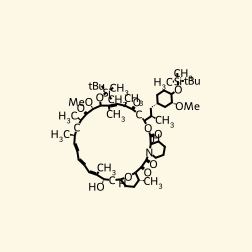 CO[C@@H]1C[C@H](C[C@@H](C)[C@@H]2CC(=O)[C@H](C)/C=C(\C)C(O[Si](C)(C)C(C)(C)C)[C@@H](OC)C(=O)[C@H](C)C[C@H](C)/C=C/C=C/C=C(\C)[C@@H](O)C[C@@H]3CC[C@@H](C)C(O3)C(=O)C(=O)N3CCCC[C@H]3C(=O)O2)CCC1O[Si](C)(C)C(C)(C)C